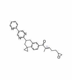 C/C(=C\CCC1CO1)C(=O)c1ccc2c(c1)CC(c1ncc(-c3ccccn3)cn1)CC21CC1